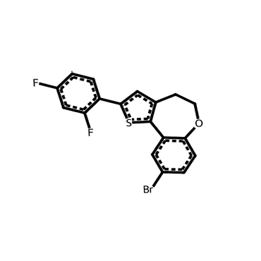 Fc1[c]cc(-c2cc3c(s2)-c2cc(Br)ccc2OCC3)c(F)c1